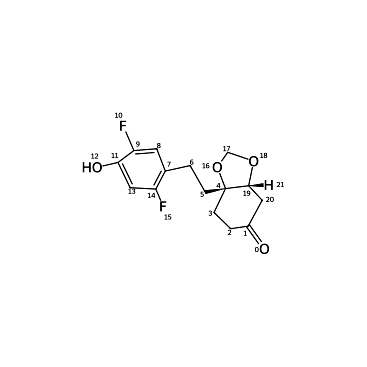 O=C1CC[C@]2(CCc3cc(F)c(O)cc3F)OCO[C@@H]2C1